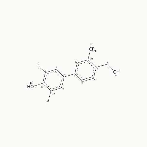 Cc1cc(-c2ccc(CO)c(C(F)(F)F)c2)cc(C)c1O